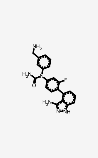 NCc1cccc(N(C(N)=O)c2ccc(-c3cccc4[nH]nc(N)c34)c(F)c2)c1